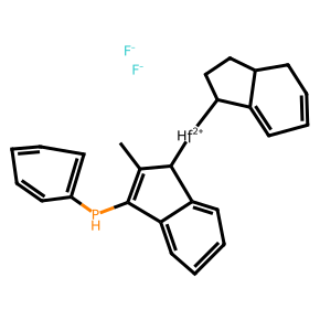 CC1=C(Pc2ccccc2)c2ccccc2[CH]1[Hf+2][CH]1CCC2CC=CC=C21.[F-].[F-]